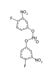 O=[N+]([O-])c1cc(O[PH](=O)Oc2ccc(F)c([N+](=O)[O-])c2)ccc1F